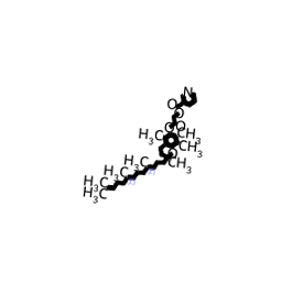 CC(C)=CCC/C(C)=C/CC/C(C)=C/CC[C@]1(C)CCc2c(C)c(OC(=O)COC(=O)c3cccnc3)c(C)c(C)c2O1